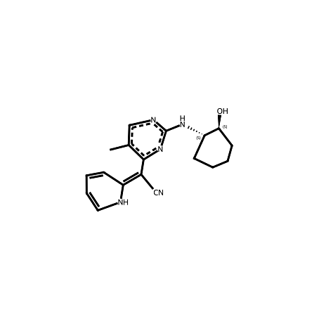 Cc1cnc(N[C@H]2CCCC[C@@H]2O)nc1C(C#N)=C1C=CC=CN1